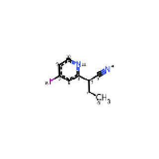 CCC(C#N)c1cc(I)ccn1